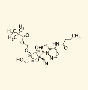 CCCC(=O)Nc1ncnn2c([C@]3(C#N)O[C@H](CO)[C@@H](OCOC(=O)C(C)(C)C)[C@H]3O)ccc12